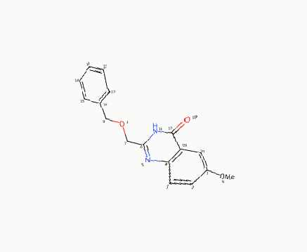 COc1ccc2nc(COCc3ccccc3)[nH]c(=O)c2c1